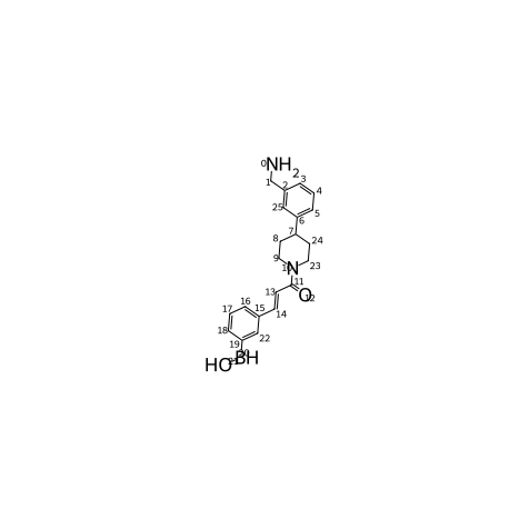 NCc1cccc(C2CCN(C(=O)/C=C/c3cccc(BO)c3)CC2)c1